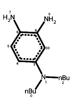 CCCCN(CCCC)c1ccc(N)c(N)c1